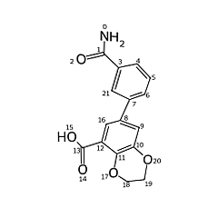 NC(=O)c1cccc(-c2cc3c(c(C(=O)O)c2)OCCO3)c1